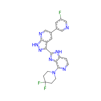 Fc1cncc(-c2cnc3[nH]nc(-c4nc5c(N6CCC(F)(F)CC6)nccc5[nH]4)c3c2)c1